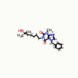 Cn1c(=O)n(CCCCCC(C)(C)O)c(=O)c2c1ncn2Cc1ccccc1